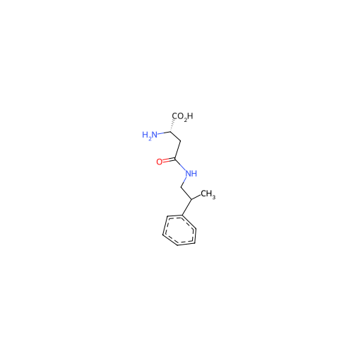 CC(CNC(=O)C[C@H](N)C(=O)O)c1ccccc1